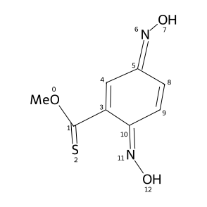 COC(=S)C1=CC(=NO)C=CC1=NO